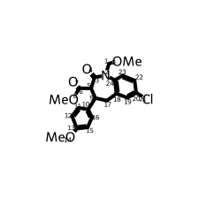 COCN1C(=O)C(C(=O)OC)C(c2ccc(OC)cc2)Cc2cc(Cl)ccc21